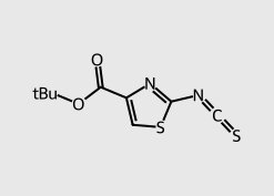 CC(C)(C)OC(=O)c1csc(N=C=S)n1